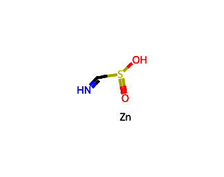 N=CS(=O)O.[Zn]